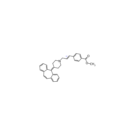 COC(=O)c1ccc(/C=C/CN2CCC(=C3c4ccccc4C=Cc4ccccc43)CC2)cc1